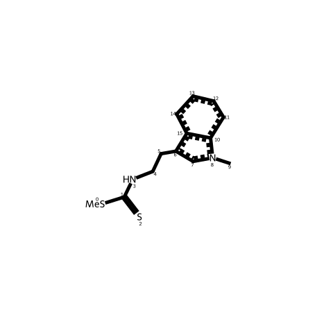 CSC(=S)NCCc1cn(C)c2ccccc12